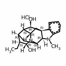 CC[C@H]1[C@@H]2C[C@H]3[C@@H]4N(C)c5ccccc5[C@@]45C[C@@H]([C@H]2[C@H]5O)N3[C@@H]1O.Cl